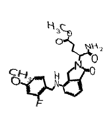 COC(=O)CC[C@@H](C(N)=O)N1Cc2c(NCc3ccc(OC)cc3F)cccc2C1=O